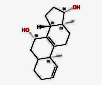 C[C@]12CCC3=C([C@@H](O)CC4CCC=C[C@]34C)[C@@H]1CC[C@@H]2O